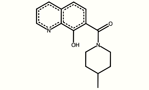 CC1CCN(C(=O)c2ccc3cccnc3c2O)CC1